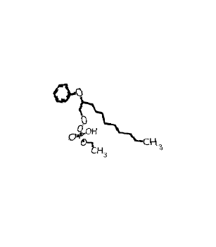 CCCCCCCCCC(COOP(=O)(O)OCC)Oc1ccccc1